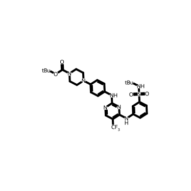 CC(C)(C)NS(=O)(=O)c1cccc(Nc2nc(Nc3ccc(N4CCN(C(=O)OC(C)(C)C)CC4)cc3)ncc2C(F)(F)F)c1